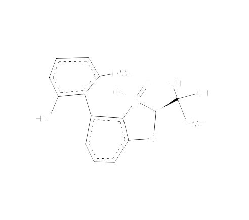 COc1cccc(C)c1-c1cccc2c1[P@](=O)(C(C)(C)C)[C@@H](C(C)(C)OC)O2